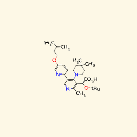 C=C(C)CCOc1ccc(-c2cnc(C)c([C@H](OC(C)(C)C)C(=O)O)c2N2CCC(C)(C)CC2)nc1